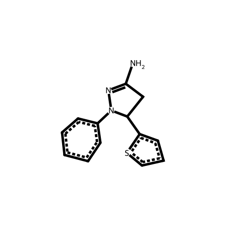 NC1=NN(c2ccccc2)C(c2cccs2)C1